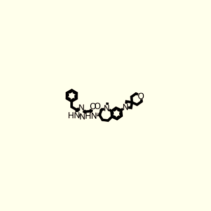 CN1C(=O)[C@@H](NC(=O)c2n[nH]c(Cc3ccccc3)n2)CCc2ccc(N3CC4(CCOCC4)C3)cc21